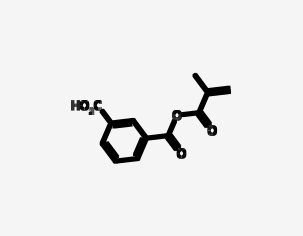 C=C(C)C(=O)OC(=O)c1cccc(C(=O)O)c1